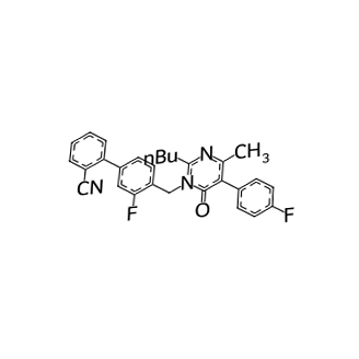 CCCCc1nc(C)c(-c2ccc(F)cc2)c(=O)n1Cc1ccc(-c2ccccc2C#N)cc1F